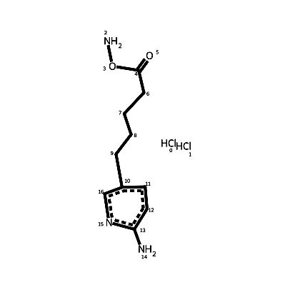 Cl.Cl.NOC(=O)CCCCc1ccc(N)nc1